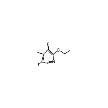 CCOc1ncc(I)c(C)c1F